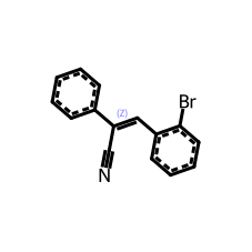 N#C/C(=C\c1ccccc1Br)c1ccccc1